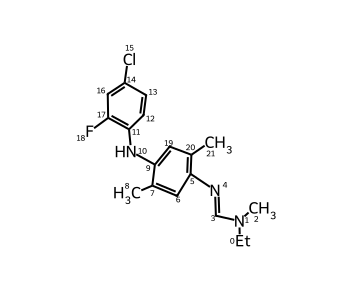 CCN(C)C=Nc1cc(C)c(Nc2ccc(Cl)cc2F)cc1C